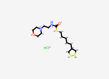 Cl.O=C(NCCN1CCOCC1)SCCCCCC1CSSC1